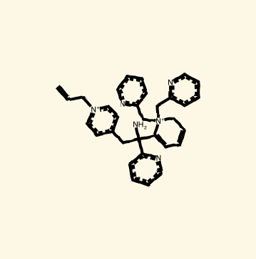 C=CC[n+]1ccc(CC(N)(C2=CC=CC[N+]2(Cc2ccccn2)Cc2ccccn2)c2ccccn2)cc1